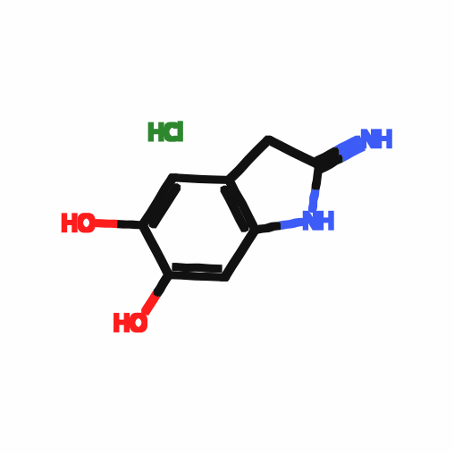 Cl.N=C1Cc2cc(O)c(O)cc2N1